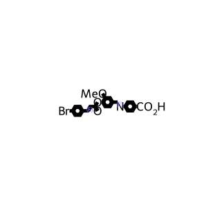 COc1cc(/C=N/c2ccc(C(=O)O)cc2)ccc1OC(=O)/C=C/c1ccc(Br)cc1